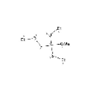 CCOCC(OC)(OCC)SCC